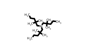 CCCC(C)(C)[CH2][Al]([CH2]C(C)(C)CCC)[CH2]C(C)(C)CCC